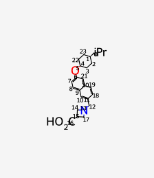 CC(C)[C@H]1CC[C@@H](Oc2ccc3cc(CN4CC(C(=O)O)C4)ccc3c2)CC1